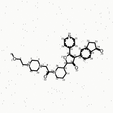 COCCN1CCN(CC(=O)N2CCCC(C3OC(c4ccncc4)=C(c4ccc5c(c4)CCC5=O)C3=O)C2)CC1